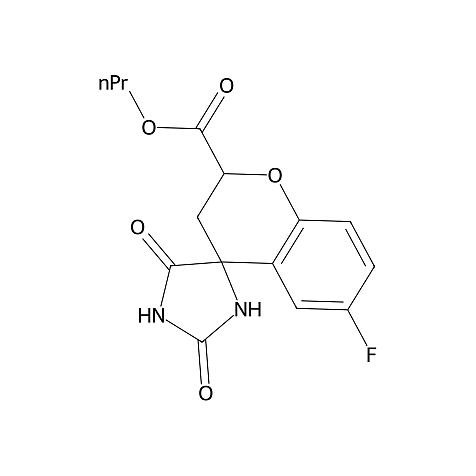 CCCOC(=O)C1CC2(NC(=O)NC2=O)c2cc(F)ccc2O1